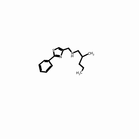 CCCC(C)CNCc1csc(-c2ccccc2)n1